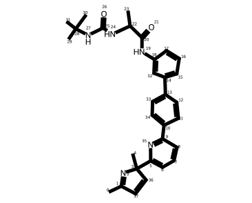 CC1=NC(C)(c2cccc(-c3ccc(-c4cccc(NC(=O)C(C)NC(=O)NC(C)(C)C)c4)cc3)n2)C=C1